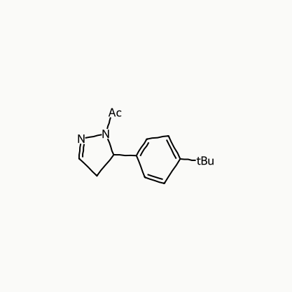 CC(=O)N1N=CCC1c1ccc(C(C)(C)C)cc1